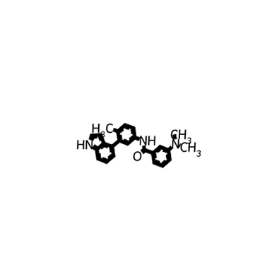 Cc1ccc(NC(=O)c2cccc(N(C)C)c2)cc1-c1cccc2[nH]ccc12